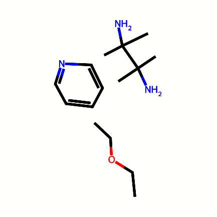 CC(C)(N)C(C)(C)N.CCOCC.c1ccncc1